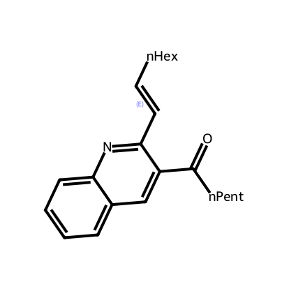 CCCCCC/C=C/c1nc2ccccc2cc1C(=O)CCCCC